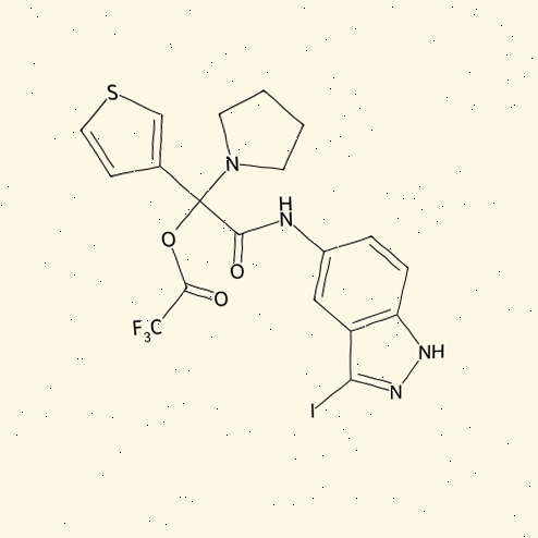 O=C(OC(C(=O)Nc1ccc2[nH]nc(I)c2c1)(c1ccsc1)N1CCCC1)C(F)(F)F